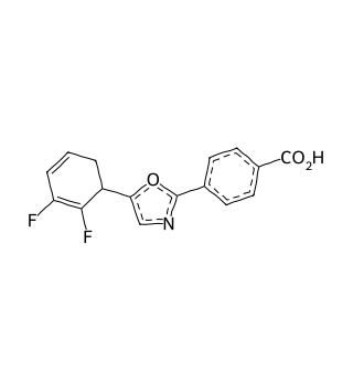 O=C(O)c1ccc(-c2ncc(C3CC=CC(F)=C3F)o2)cc1